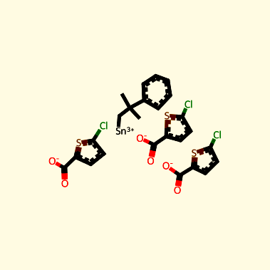 CC(C)([CH2][Sn+3])c1ccccc1.O=C([O-])c1ccc(Cl)s1.O=C([O-])c1ccc(Cl)s1.O=C([O-])c1ccc(Cl)s1